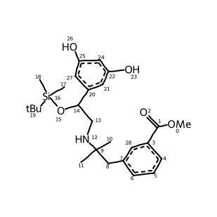 COC(=O)c1cccc(CC(C)(C)NCC(O[Si](C)(C)C(C)(C)C)c2cc(O)cc(O)c2)c1